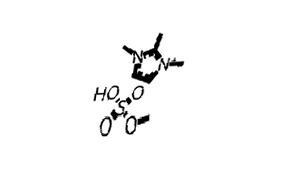 COS(=O)(=O)O.Cc1n(C)cc[n+]1C